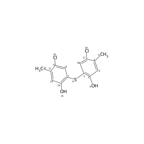 Cc1cc(O)c(Sc2cc(Cl)c(C)cc2O)cc1Cl